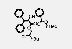 CCCCC(CC)COC(=O)C(C#N)=C(c1ccccc1)c1ccccc1.CCCCCCOC(=O)c1ccccc1